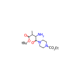 CCOC(=O)N1CCN(C(=O)C(N)C(C)C(=O)OC(C)(C)C)CC1